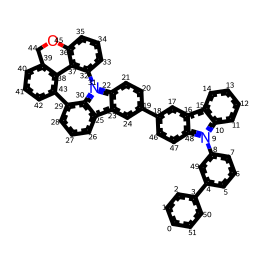 c1ccc(-c2cccc(-n3c4ccccc4c4cc(-c5ccc6c(c5)c5cccc7c5n6-c5cccc6c5-c5c(cccc5-7)CO6)ccc43)c2)cc1